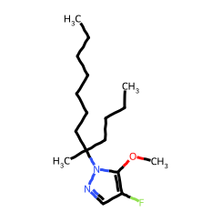 CCCCCCCC(C)(CCCC)n1ncc(F)c1OC